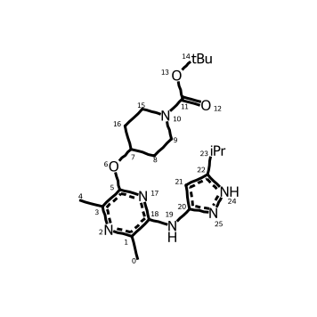 Cc1nc(C)c(OC2CCN(C(=O)OC(C)(C)C)CC2)nc1Nc1cc(C(C)C)[nH]n1